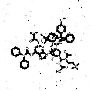 COc1ccc(C(OC[C@@]23CN(C(NC(=O)O)N(CC[Si](C)(C)C)C(=O)O)[C@@H]([C@H](n4cnc5c(OC(=O)N(c6ccccc6)c6ccccc6)nc(NC(=O)C(C)C)nc54)O2)[C@@H]3OP(OCCC#N)N(C(C)C)C(C)C)(c2ccccc2)c2ccc(OC)cc2)cc1